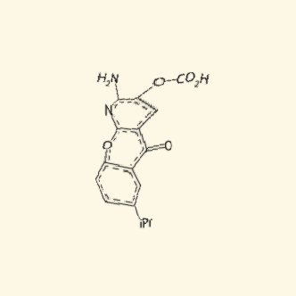 CC(C)c1ccc2oc3nc(N)c(OC(=O)O)cc3c(=O)c2c1